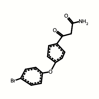 NC(=O)CC(=O)c1ccc(Oc2ccc(Br)cc2)cc1